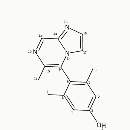 Cc1cc(O)cc(C)c1-c1c(C)ncc2nccn12